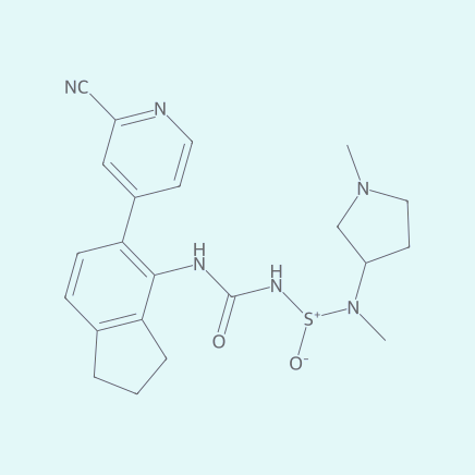 CN1CCC(N(C)[S+]([O-])NC(=O)Nc2c(-c3ccnc(C#N)c3)ccc3c2CCC3)C1